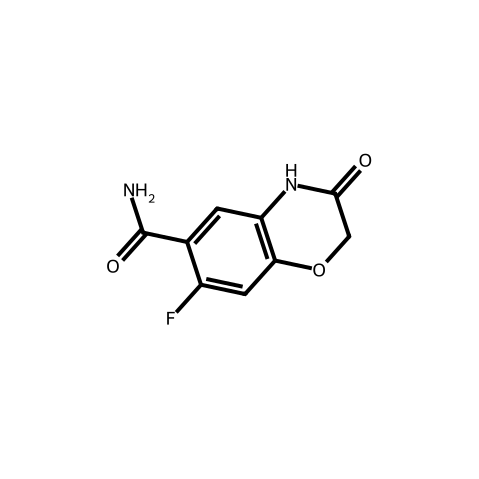 NC(=O)c1cc2c(cc1F)OCC(=O)N2